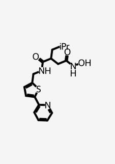 CC(C)CC(CC(=O)NO)C(=O)NCc1ccc(-c2ccccn2)s1